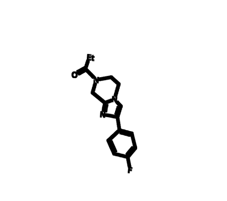 CCC(=O)N1CCn2cc(-c3ccc(F)cc3)nc2C1